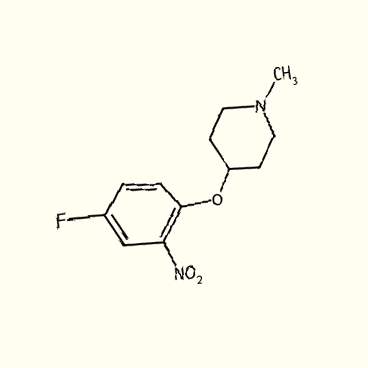 CN1CCC(Oc2ccc(F)cc2[N+](=O)[O-])CC1